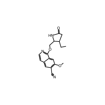 CCC1CC(=O)NC1COc1nccc2cc(C#N)c(OC)cc12